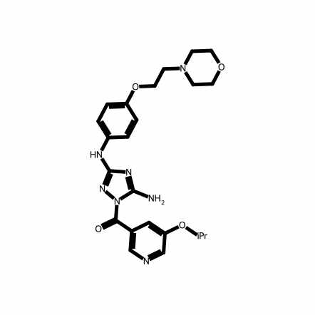 CC(C)Oc1cncc(C(=O)n2nc(Nc3ccc(OCCN4CCOCC4)cc3)nc2N)c1